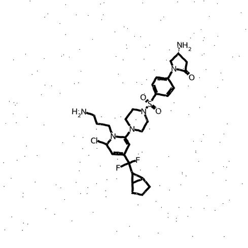 NCCCN1C(N2CCN(S(=O)(=O)c3ccc(N4C[C@H](N)CC4=O)cc3)CC2)=CC(C(F)(F)C2C3CCCC32)=CC1Cl